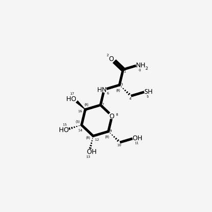 NC(=O)[C@H](CS)NC1O[C@H](CO)[C@H](O)[C@H](O)[C@H]1O